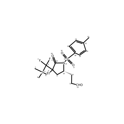 CCC1(C(F)(F)[Si](C)(C)C)C[C@@H](CCC=O)N(S(=O)(=O)c2ccc(C)cc2)C1=O